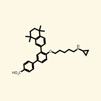 CC1(C)CCC(C)(C)c2cc(-c3cc(-c4ccc(C(=O)O)cc4)ccc3OCCCCCNC3CC3)ccc21